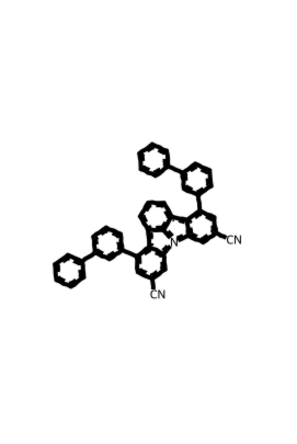 N#Cc1cc(-c2cccc(-c3ccccc3)c2)c2c3cccc4c5c(-c6cccc(-c7ccccc7)c6)cc(C#N)cc5n(c2c1)c34